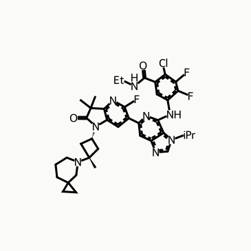 CCNC(=O)c1cc(Nc2nc(-c3cc4c(nc3F)C(C)(C)C(=O)N4[C@H]3C[C@@](C)(N4CCCC5(CC5)C4)C3)cc3ncn(C(C)C)c23)c(F)c(F)c1Cl